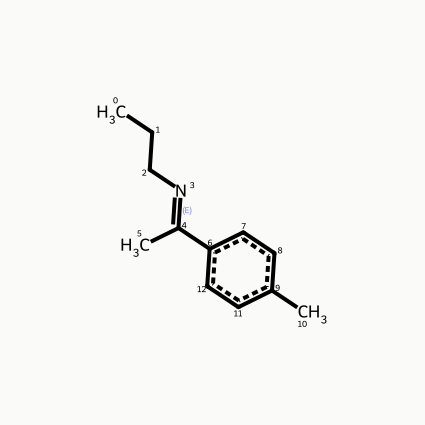 CCC/N=C(\C)c1ccc(C)cc1